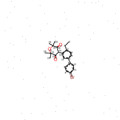 CCc1ccc(-c2ccc(Br)cc2)cc1C1C(=O)C(C)(C)OC(C)(C)C1=O